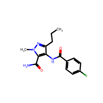 CCCc1nn(C)c(C(N)=O)c1NC(=O)c1ccc(F)cc1